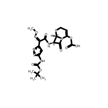 CO/N=C(\C(=O)N[C@@H]1C(=O)N2C(OC(=O)O)=CCS[C@@H]12)c1cc(NC(=O)OC(C)(C)C)sn1